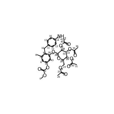 COC(=O)Oc1cc(C)c(Cc2ccc(N)cc2)c(O[C@@H]2O[C@H](COC(C)=O)[C@@H](OC(C)=O)[C@H](OC(C)=O)[C@H]2OC(C)=O)c1